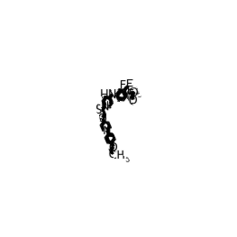 CCOc1ccc(N2CCC(OCC(=S)N3CCC(Nc4ccc([N+](=O)[O-])c(C(F)(F)F)c4)CC3)CC2)cc1